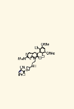 CNc1ncc2cc(-c3c(Cl)c(OC)cc(OC)c3Cl)c(=O)n(CCNC3CN(C(=O)/C(C#N)=C\C(C)C)C3)c2n1